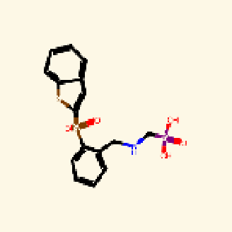 O=P(O)(O)CNCc1ccccc1S(=O)(=O)c1cc2ccccc2s1